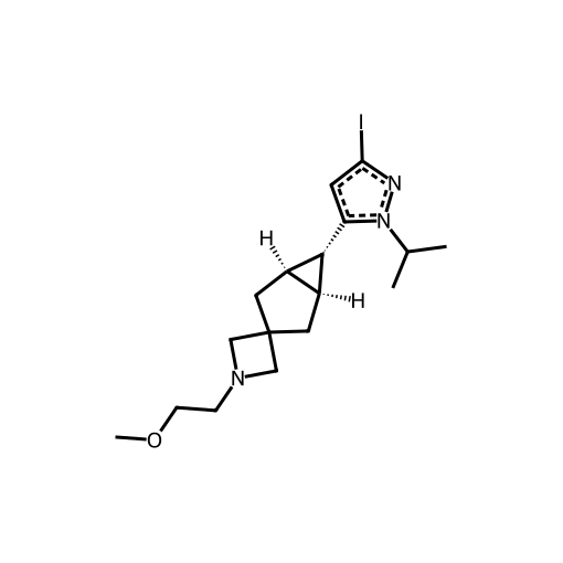 COCCN1CC2(C[C@@H]3[C@H](C2)[C@H]3c2cc(I)nn2C(C)C)C1